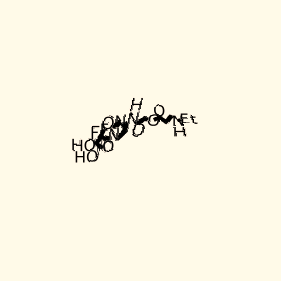 CCNCCC(=O)OCC(=O)Nc1ccn([C@@H]2O[C@H](CO)[C@@H](O)C2(F)F)c(=O)n1